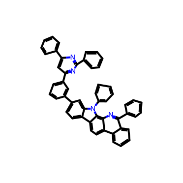 c1ccc(-c2cc(-c3cccc(-c4ccc5c6ccc7c8ccccc8c(-c8ccccc8)nc7c6n(-c6ccccc6)c5c4)c3)nc(-c3ccccc3)n2)cc1